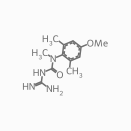 COc1cc(C)c(N(C)C(=O)NC(=N)N)c(C)c1